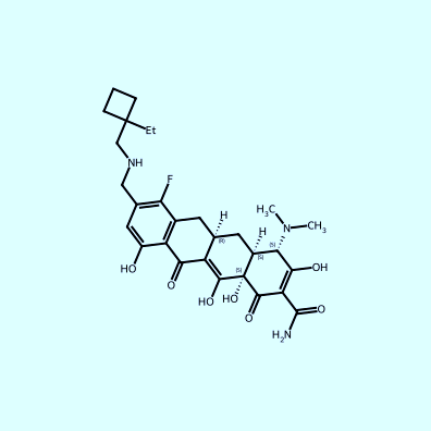 CCC1(CNCc2cc(O)c3c(c2F)C[C@H]2C[C@H]4[C@H](N(C)C)C(O)=C(C(N)=O)C(=O)[C@@]4(O)C(O)=C2C3=O)CCC1